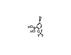 N#Cc1ccc(OC(F)(F)F)c(B(O)O)c1